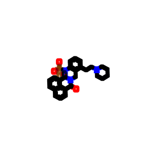 O=C1c2cccc3cccc(c23)C(=O)N1Cc1c(CCN2CCCCC2)cccc1N[SH](=O)=O